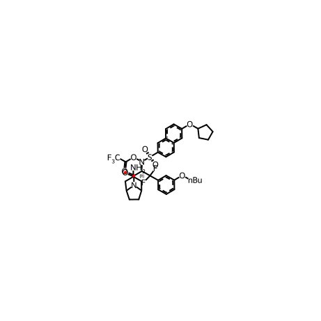 CCCCOc1cccc(C(F)(F)[C@@H](C(=O)N2C3CCC2CC(N)C3)N(OC(=O)C(F)(F)F)S(=O)(=O)c2ccc3cc(OC4CCCC4)ccc3c2)c1